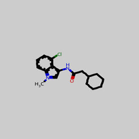 Cn1cc(NC(=O)CC2CCCCC2)c2c(Cl)cccc21